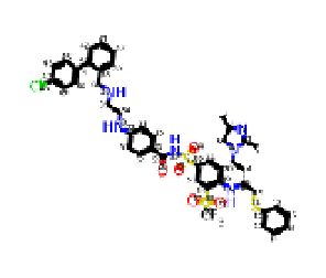 CC1=NC(C)CN1CC[C@H](CSc1ccccc1)Nc1ccc(S(=O)(=O)NC(=O)c2ccc(NCCNCc3ccccc3-c3ccc(Cl)cc3)cc2)cc1S(=O)(=O)C(F)(F)F